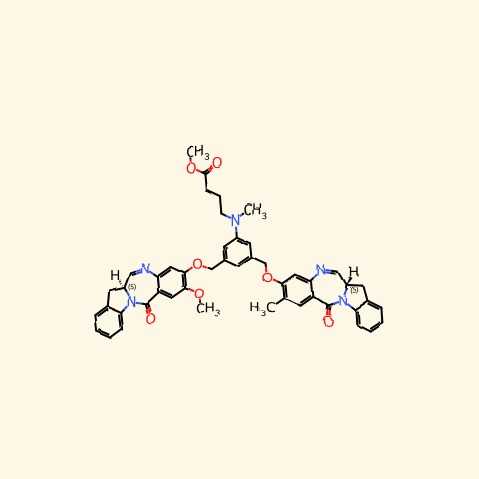 COC(=O)CCCN(C)c1cc(COc2cc3c(cc2C)C(=O)N2c4ccccc4C[C@H]2C=N3)cc(COc2cc3c(cc2OC)C(=O)N2c4ccccc4C[C@H]2C=N3)c1